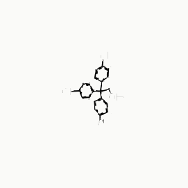 OCC(c1ccc(Cl)cc1)(c1ccc(Cl)cc1)c1ccc(Cl)cc1